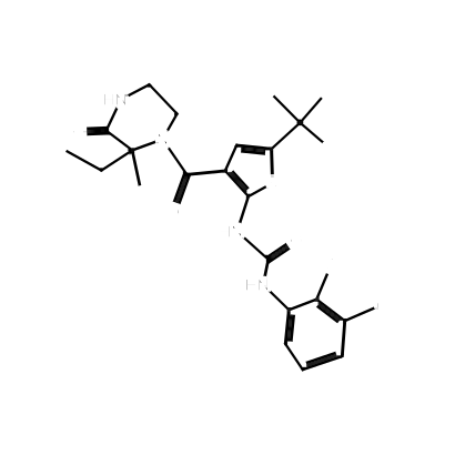 CCC1(C)C(=O)NCCN1C(=O)c1cc(C(C)(C)C)sc1NC(=O)Nc1cccc(Cl)c1Cl